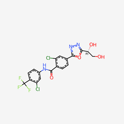 O=C(Nc1ccc(C(F)(F)F)c(Cl)c1)c1ccc(-c2nnc([C@H](O)CO)o2)cc1Cl